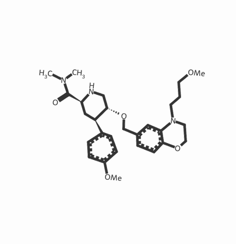 COCCCN1CCOc2ccc(CO[C@H]3CN[C@H](C(=O)N(C)C)C[C@@H]3c3ccc(OC)cc3)cc21